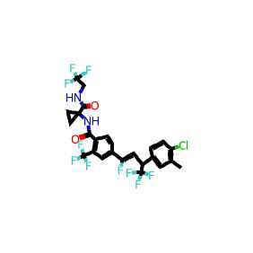 Cc1cc(C(/C=C(\F)c2ccc(C(=O)NC3(C(=O)NCC(F)(F)F)CC3)c(C(F)(F)F)c2)C(F)(F)F)ccc1Cl